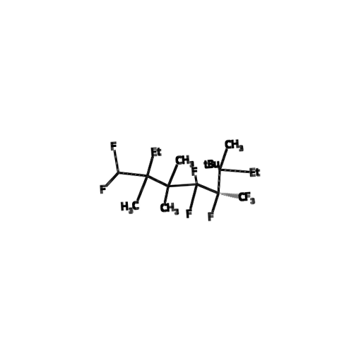 CCC(C)(C(F)F)C(C)(C)C(F)(F)[C@@](F)(C(F)(F)F)C(C)(CC)C(C)(C)C